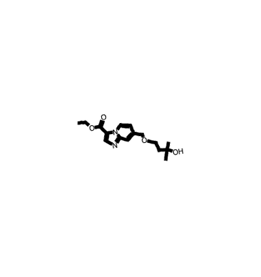 CCOC(=O)c1cnc2cc(COCCC(C)(C)O)ccn12